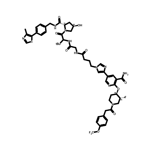 Cc1ncsc1-c1ccc(CNC(=O)[C@@H]2C[C@@H](O)CN2C(=O)C(NC(=O)CNC(=O)CCCn2cnc(-c3cnc(O[C@@H]4CCN(C(=O)Cc5ccc(OC(F)(F)F)cc5)C[C@H]4F)c(C(N)=O)c3)c2)C(C)(C)C)cc1